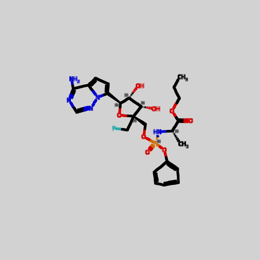 CCCOC(=O)[C@H](C)N[P@](=O)(OC[C@@]1(CF)O[C@@H](c2ccc3c(N)ncnn23)[C@H](O)[C@@H]1O)Oc1ccccc1